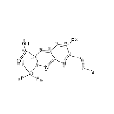 CC=Cc1nc2nc(C(F)(F)F)c(C(=O)O)cc2cc1F